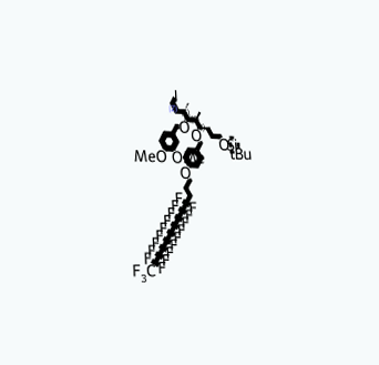 COc1ccc(CO[C@H]([C@@H](C)[C@@H](CCCO[Si](C)(C)C(C)(C)C)OCc2ccc(OCCCC(F)(F)C(F)(F)C(F)(F)C(F)(F)C(F)(F)C(F)(F)C(F)(F)C(F)(F)C(F)(F)C(F)(F)F)cc2)[C@@H](C)/C=C\I)cc1OC